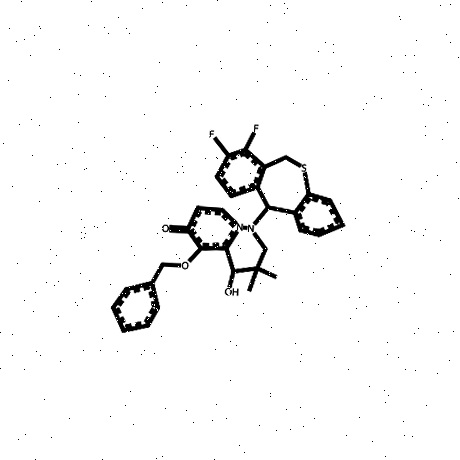 CC1(C)CN(C2c3ccccc3SCc3c2ccc(F)c3F)n2ccc(=O)c(OCc3ccccc3)c2C1O